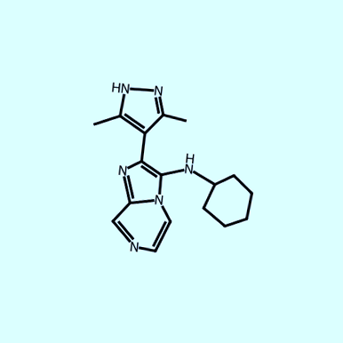 Cc1n[nH]c(C)c1-c1nc2cnccn2c1NC1CCCCC1